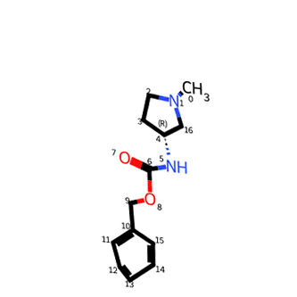 CN1CC[C@@H](NC(=O)OCc2ccccc2)C1